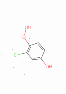 OOc1ccc(O)cc1Cl